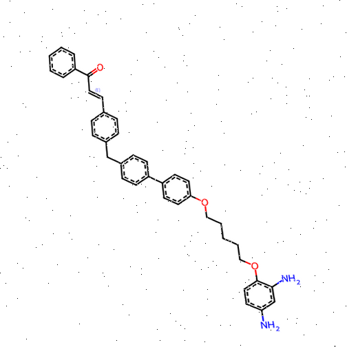 Nc1ccc(OCCCCCOc2ccc(-c3ccc(Cc4ccc(/C=C/C(=O)c5ccccc5)cc4)cc3)cc2)c(N)c1